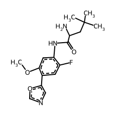 COc1cc(NC(=O)C(N)CC(C)(C)C)c(F)cc1-c1cnco1